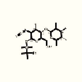 CC(=O)OCC1O[C@@H](O[Si](C)(C)C(C)(C)C(C)C)C(N=[N+]=[N-])[C@@H](C)[C@@H]1O[C@@H]1OC(C)[C@@H](C)[C@H](C)C1C